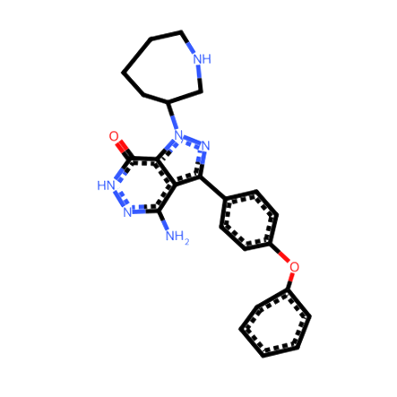 Nc1n[nH]c(=O)c2c1c(-c1ccc(Oc3ccccc3)cc1)nn2C1CCCCNC1